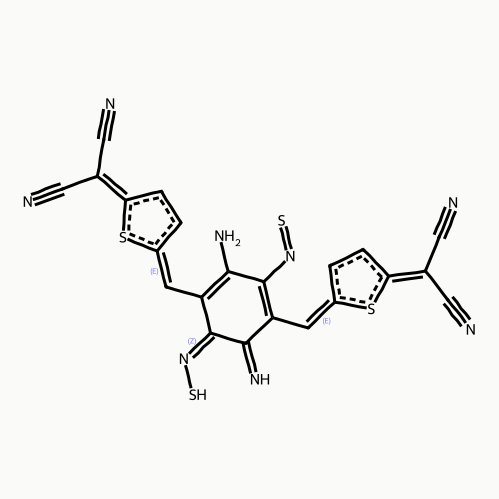 N#CC(C#N)=c1cc/c(=C\C2=C(N=S)C(N)=C(/C=c3\ccc(=C(C#N)C#N)s3)/C(=N/S)C2=N)s1